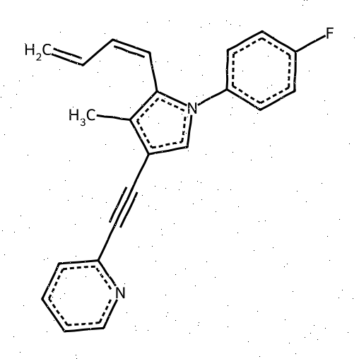 C=C/C=C\c1c(C)c(C#Cc2ccccn2)cn1-c1ccc(F)cc1